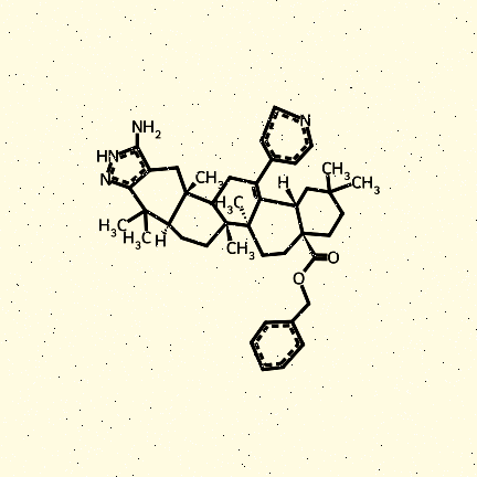 CC1(C)CC[C@]2(C(=O)OCc3ccccc3)CC[C@]3(C)C(=C(c4ccncc4)CC4[C@@]5(C)Cc6c(n[nH]c6N)C(C)(C)[C@@H]5CC[C@]43C)[C@@H]2C1